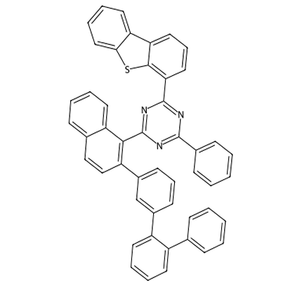 c1ccc(-c2nc(-c3c(-c4cccc(-c5ccccc5-c5ccccc5)c4)ccc4ccccc34)nc(-c3cccc4c3sc3ccccc34)n2)cc1